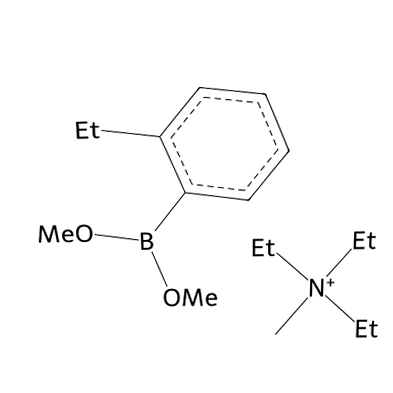 CC[N+](C)(CC)CC.CCc1ccccc1B(OC)OC